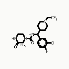 C[C@@H]1C(=O)NCCN1C(=O)NC(c1ccc(F)c(Cl)c1)C1CCN(CC(F)(F)F)CC1